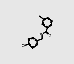 [CH2]c1cccc(C(=O)NCc2ccc(Cl)cc2)c1